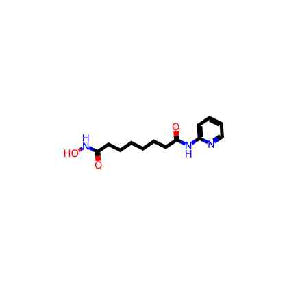 O=C(CCCCCCC(=O)Nc1ccccn1)NO